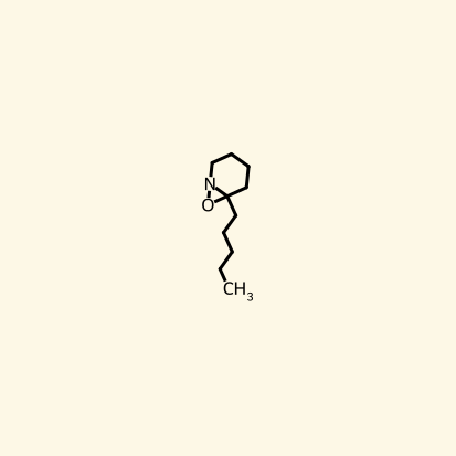 CCCCCC12CCCCN1O2